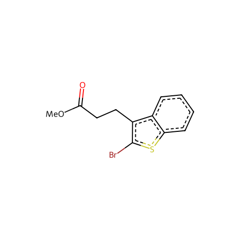 COC(=O)CCc1c(Br)sc2ccccc12